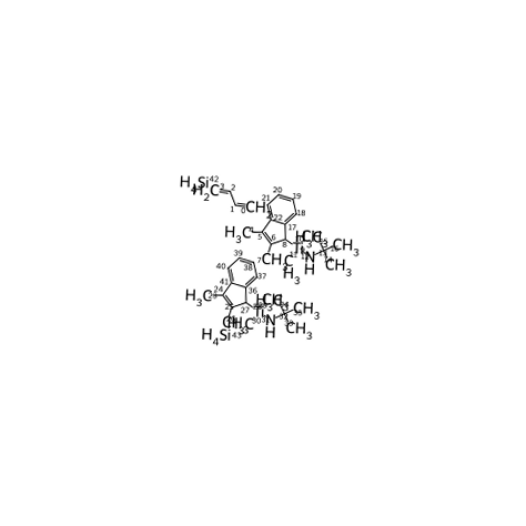 C=CC=C.CC1=C(C)[CH]([Ti]([CH3])([CH3])[NH]C(C)(C)C)c2ccccc21.CC1=C(C)[CH]([Ti]([CH3])([CH3])[NH]C(C)(C)C)c2ccccc21.[SiH4].[SiH4]